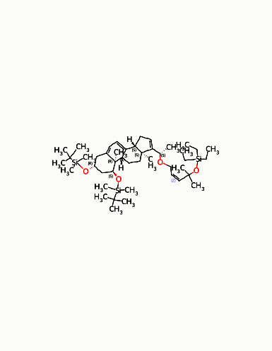 CC[Si](CC)(CC)OC(C)(C)/C=C\CO[C@@H](C)C1=CC[C@H]2C3=CC=C4C[C@@H](O[Si](C)(C)C(C)(C)C)C[C@H](O[Si](C)(C)C(C)(C)C)[C@]4(C)[C@H]3CC[C@]12C